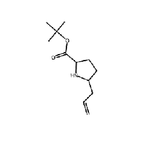 C=CCC1CCC(C(=O)OC(C)(C)C)N1